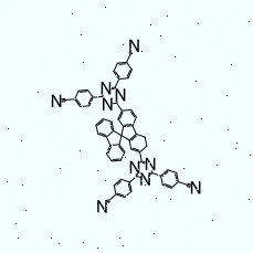 N#Cc1ccc(-c2nc(C3=CC4=C(CC3)c3ccc(-c5nc(-c6ccc(C#N)cc6)nc(-c6ccc(C#N)cc6)n5)cc3C43c4ccccc4-c4ccccc43)nc(-c3ccc(C#N)cc3)n2)cc1